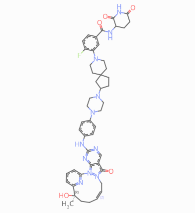 C[C@@]1(O)CC/C=C\Cn2c(=O)c3cnc(Nc4ccc(N5CCN(C6CCC7(CCN(c8cc(C(=O)NC9CCC(=O)NC9=O)ccc8F)CC7)C6)CC5)cc4)nc3n2-c2cccc1n2